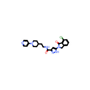 O=C(NCCC1CCN(c2ccncc2)CC1)c1cc(N2Cc3cccc(Cl)c3C2=O)[nH]n1